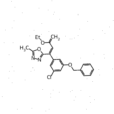 C=C(/C=C(/c1cc(Cl)cc(OCc2ccccc2)c1)c1nnc(C)o1)OCC